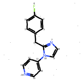 Fc1ccc(Cc2nccn2-c2ccncc2)cc1